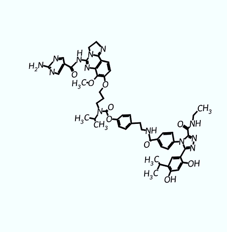 CCNC(=O)c1nnc(-c2cc(C(C)C)c(O)cc2O)n1-c1ccc(C(=O)NCCc2ccc(OC(=O)N(CCCOc3ccc4c(c3OC)N=C(NC(=O)c3cnc(N)nc3)N3CCN=C43)C(C)C)cc2)cc1